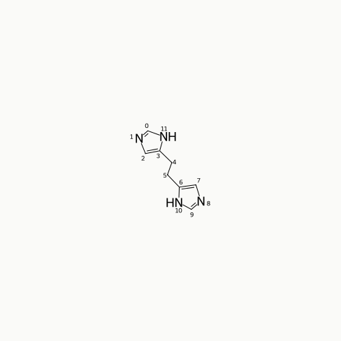 c1ncc(CCc2cnc[nH]2)[nH]1